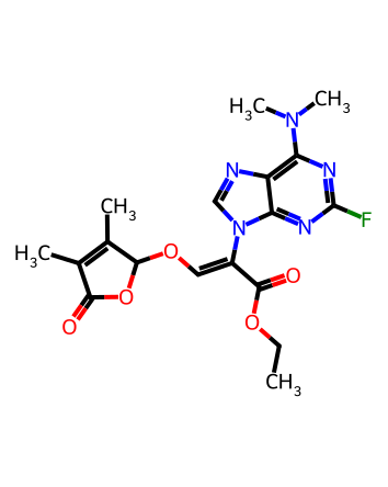 CCOC(=O)/C(=C/OC1OC(=O)C(C)=C1C)n1cnc2c(N(C)C)nc(F)nc21